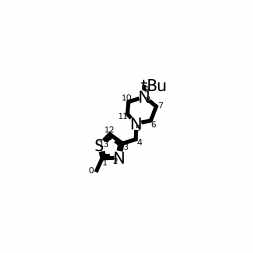 Cc1nc(CN2CCN(C(C)(C)C)CC2)cs1